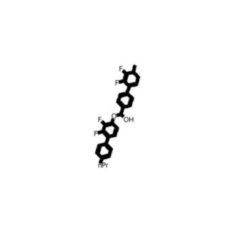 CCCc1ccc(-c2ccc(OC(O)c3ccc(C4=CCC(C)C(F)=C4F)cc3)c(F)c2F)cc1